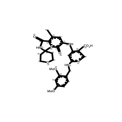 COc1ccc(CNc2cc(Nc3cc(C)c4n(c3=O)C3(CCOCC3)NC4=O)c(C(=O)O)cn2)c(OC)c1